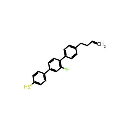 C=CCCc1ccc(-c2ccc(-c3ccc(S)cc3)cc2F)cc1